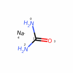 NC(N)=O.[Na]